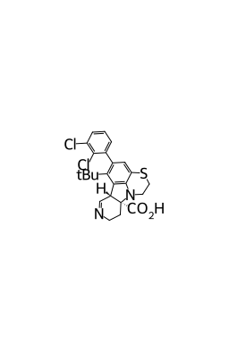 CC(C)(C)c1c(-c2cccc(Cl)c2Cl)cc2c3c1[C@H]1C=NCC[C@]1(C(=O)O)N3CCS2